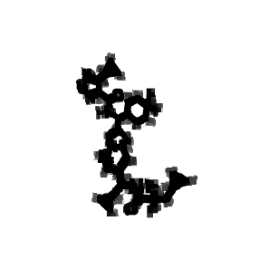 O=C(N[C@H](c1cn2ncc(C(NC(=O)C(F)(F)CC3CC3)C3CC3)cc2n1)C1CCC(F)(F)CC1)c1nonc1C1CC1